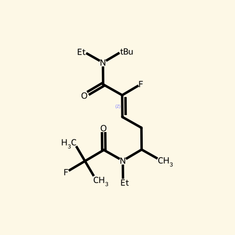 CCN(C(=O)C(C)(C)F)C(C)C/C=C(\F)C(=O)N(CC)C(C)(C)C